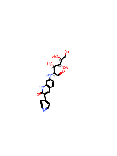 O=C[C@@H](Nc1ccc2cc(-c3ccncc3)c(=O)[nH]c2c1)[C@H](O)[C@@H](O)[C@@H](O)CO